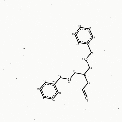 O=CCC(COCc1ccccc1)COCc1ccccc1